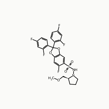 COC[C@@H]1CCCN1NS(=O)(=O)c1cc2c(cc1F)OC(c1ccc(F)cc1F)(c1ccc(F)cc1F)O2